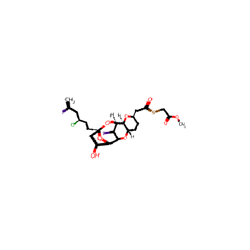 C=C(I)C[C@H](Cl)CC[C@]12CC(O)C(O1)C1O[C@H]3CC[C@H](CC(=O)SCC(=O)OC)O[C@@H]3[C@H](O2)C1I